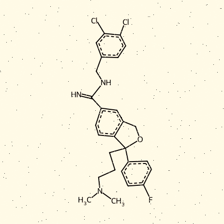 CN(C)CCCC1(c2ccc(F)cc2)OCc2cc(C(=N)NCc3ccc(Cl)c(Cl)c3)ccc21